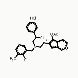 CC(=O)Oc1c(CCN(Cc2cccc(C(F)(F)F)c2Cl)CC(C)c2ccccc2)cc2coccc1-2.Cl